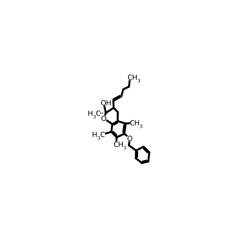 CCCC=CC1Cc2c(C)c(OCc3ccccc3)c(C)c(C)c2O[C@@]1(C)O